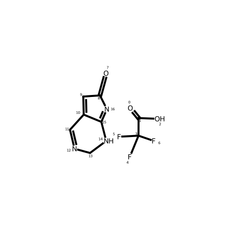 O=C(O)C(F)(F)F.O=C1C=C2C=NCNC2=N1